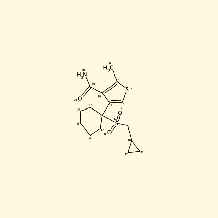 Cc1scc(C2(S(=O)(=O)CC3CC3)CCCCC2)c1C(N)=O